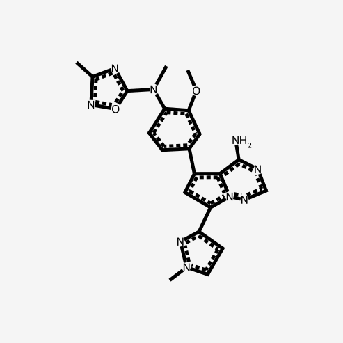 COc1cc(-c2cc(-c3ccn(C)n3)n3ncnc(N)c23)ccc1N(C)c1nc(C)no1